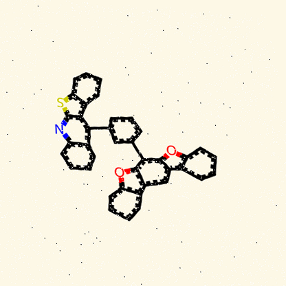 c1cc(-c2c3oc4ccccc4c3cc3c2oc2ccccc23)cc(-c2c3ccccc3nc3sc4ccccc4c23)c1